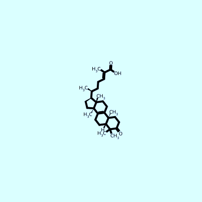 C/C(=C\CC[C@H](C)[C@@H]1CC[C@]2(C)C3=C(CC[C@@]12C)[C@@]1(C)CCC(=O)C(C)(C)[C@@H]1CC3)C(=O)O